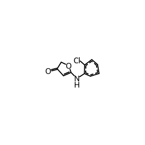 O=C1C=C(Nc2ccccc2Cl)OC1